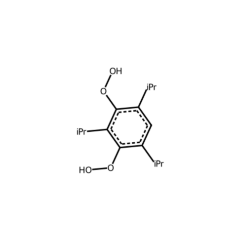 CC(C)c1cc(C(C)C)c(OO)c(C(C)C)c1OO